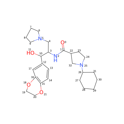 O=C(NC(CN1CCCC1)C(O)c1ccc2c(c1)OCCO2)C1CCN(C2CCCCC2)C1